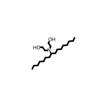 CCCCCCCCC(CCCCCCC)N(CCO)CCO